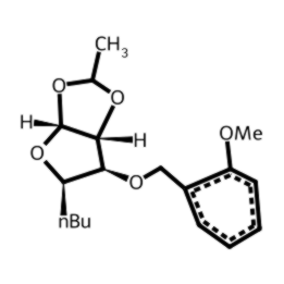 CCCC[C@H]1O[C@@H]2OC(C)O[C@@H]2[C@H]1OCc1ccccc1OC